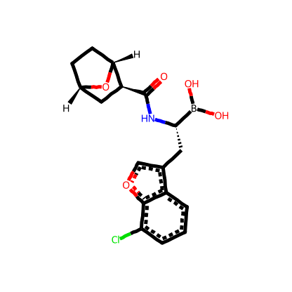 O=C(N[C@@H](Cc1coc2c(Cl)cccc12)B(O)O)[C@H]1C[C@@H]2CC[C@H]1O2